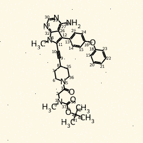 CN(CC(=O)N1CCC(C#Cc2c(-c3ccc(Oc4ccccc4)cc3)c3c(N)ncnc3n2C)CC1)C(=O)OC(C)(C)C